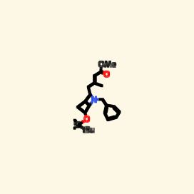 COC(=O)/C=C(\C)CC1C2CC(O[Si](C)(C)C(C)(C)C)C2N1Cc1ccccc1